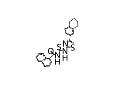 O=C(NC(=S)Nc1nc(-c2ccc3c(c2)CCCC3)cs1)c1cccc2ccccc12